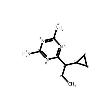 CCC(c1nc(N)nc(N)n1)C1CC1